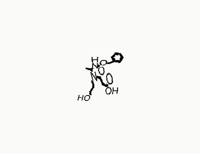 CC(NC(=O)OCc1ccccc1)N(CCCCO)CCC(=O)O